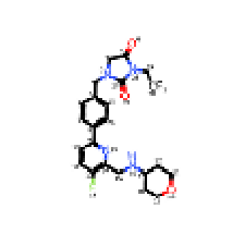 O=C1CN(Cc2ccc(-c3ccc(F)c(CNC4CCOCC4)n3)cc2)C(=O)N1CC(F)(F)F